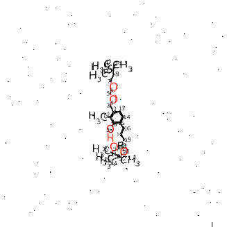 Cc1c(COCOCC[Si](C)(C)C)ccc(CCCB2OC(C)(C)C(C)(C)O2)c1O